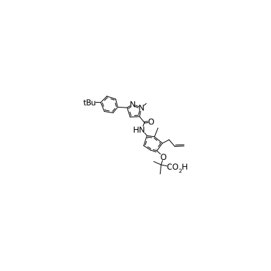 C=CCc1c(OC(C)(C)C(=O)O)ccc(NC(=O)c2cc(-c3ccc(C(C)(C)C)cc3)nn2C)c1C